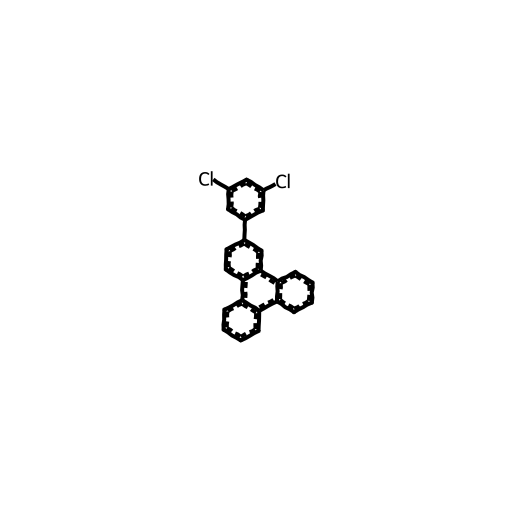 Clc1cc(Cl)cc(-c2ccc3c4ccccc4c4ccccc4c3c2)c1